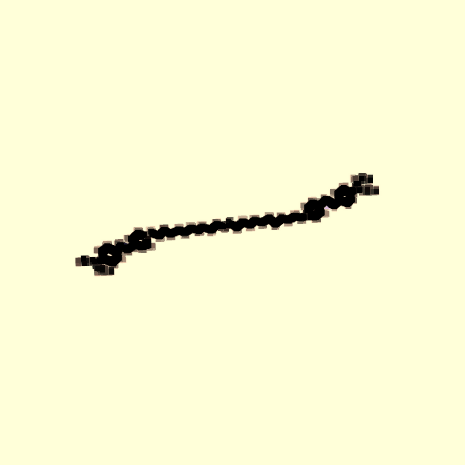 CCCCN(CCCC)c1ccc(/C=C/c2cc[n+](CCCCCCCCCCCSSCCCCCCCCCCC[n+]3ccc(/C=C/c4ccc(N(CCCC)CCCC)cc4)cc3)cc2)cc1